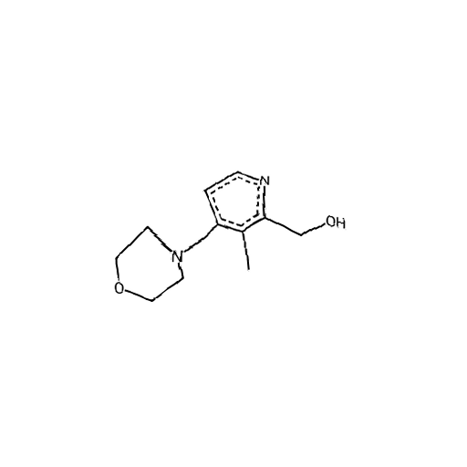 Cc1c(N2CCOCC2)ccnc1CO